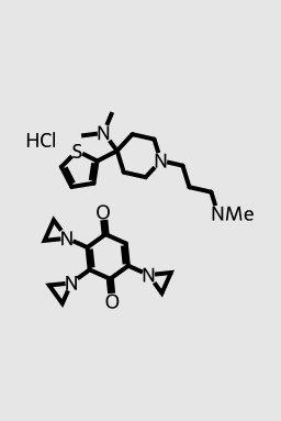 CNCCCN1CCC(c2cccs2)(N(C)C)CC1.Cl.O=C1C=C(N2CC2)C(=O)C(N2CC2)=C1N1CC1